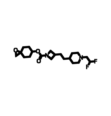 O=C(OC1CCC2(CC1)CO2)N1CC(CCC2CCN(CC(F)F)CC2)C1